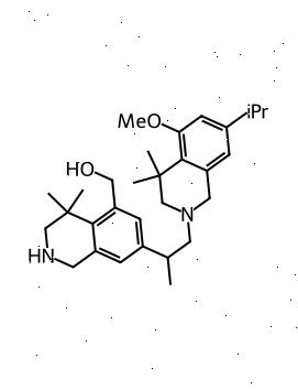 COc1cc(C(C)C)cc2c1C(C)(C)CN(CC(C)c1cc(CO)c3c(c1)CNCC3(C)C)C2